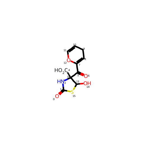 O=C1NC(C(=O)O)(C(=O)C2=CCC=CO2)C(O)S1